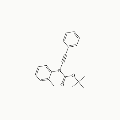 Cc1ccccc1N(C#Cc1ccccc1)C(=O)OC(C)(C)C